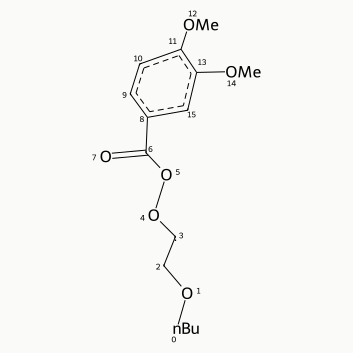 CCCCOC[CH]OOC(=O)c1ccc(OC)c(OC)c1